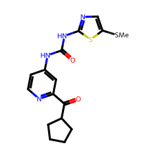 CSc1cnc(NC(=O)Nc2ccnc(C(=O)C3CCCC3)c2)s1